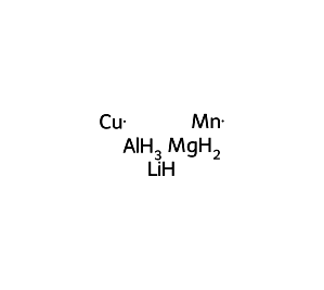 [AlH3].[Cu].[LiH].[MgH2].[Mn]